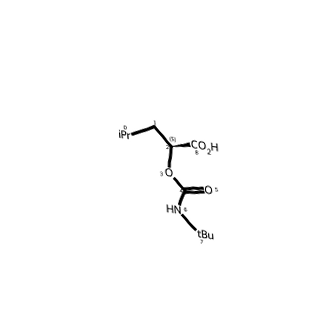 CC(C)C[C@H](OC(=O)NC(C)(C)C)C(=O)O